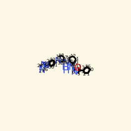 c1ccc(-c2cnc(N[C@@H]3CCCC[C@H]3N[C@H]3CCCN(c4ccc(-n5cncn5)cc4)C3)o2)cc1